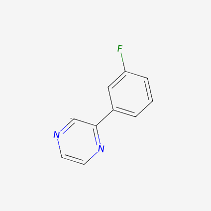 Fc1cccc(-c2[c]nccn2)c1